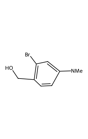 CNc1ccc(CO)c(Br)c1